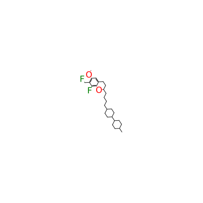 COc1cc2c(c(F)c1CF)OC(CCCCC1CCC(C3CCC(C)CC3)CC1)CC2